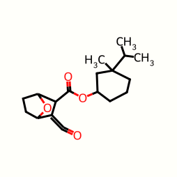 CC(C)C1(C)CCCC(OC(=O)C2C(=C=O)C3CCC2O3)C1